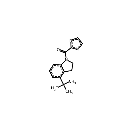 CC(C)(C)c1cccc2c1CCN2C(=O)c1nccs1